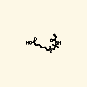 C=CC(=O)NC(C)(C)C[N+](C)(C)CCCCCC(=O)O